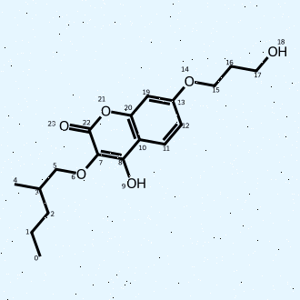 CCCC(C)COc1c(O)c2ccc(OCCCO)cc2oc1=O